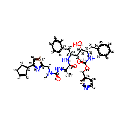 CC(C)[C@H](NC(=O)N(C)Cc1nc(C2C=CCC2)cs1)C(=O)N[C@@H](Cc1ccccc1)C[C@H](O)[C@H](Cc1ccccc1)NC(=O)OCc1ccns1